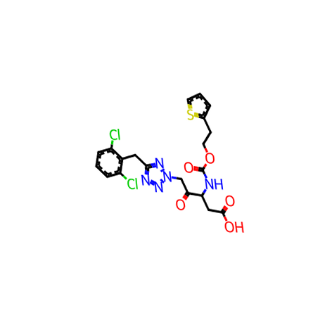 O=C(O)CC(NC(=O)OCCc1cccs1)C(=O)Cn1nnc(Cc2c(Cl)cccc2Cl)n1